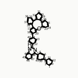 c1ccc(-c2ccc(C3=NC(c4ccc(-c5ccc6c(c5)oc5ccccc5c5ccccc5c5ccccc65)cc4)Nc4ccccc43)cc2)cc1